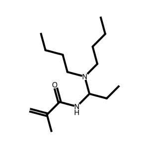 C=C(C)C(=O)NC(CC)N(CCCC)CCCC